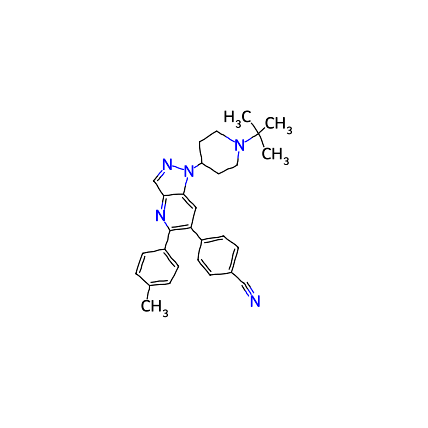 Cc1ccc(-c2nc3cnn(C4CCN(C(C)(C)C)CC4)c3cc2-c2ccc(C#N)cc2)cc1